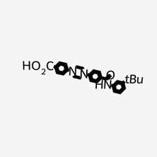 CC(C)(C)c1cccc(NC(=O)c2ccc(N3CCN(c4ccc(C(=O)O)cc4)CC3)cc2)c1